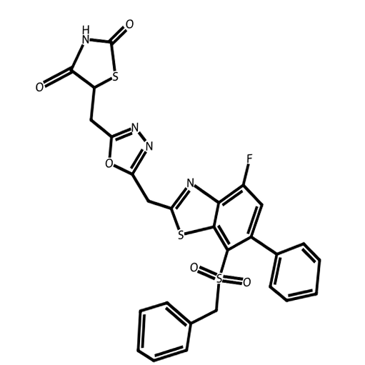 O=C1NC(=O)C(Cc2nnc(Cc3nc4c(F)cc(-c5ccccc5)c(S(=O)(=O)Cc5ccccc5)c4s3)o2)S1